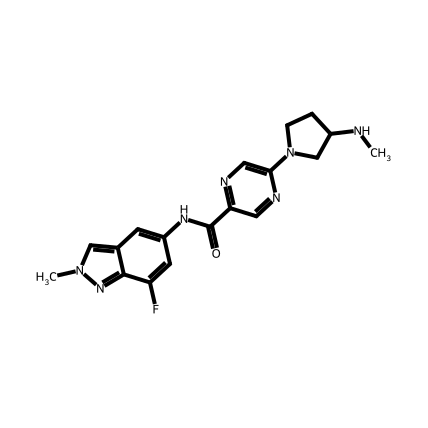 CNC1CCN(c2cnc(C(=O)Nc3cc(F)c4nn(C)cc4c3)cn2)C1